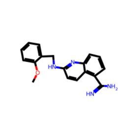 COc1ccccc1CNc1ccc2c(C(=N)N)cccc2n1